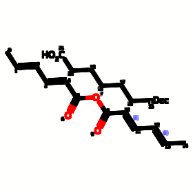 CC=CC=CC(=O)OC(=O)/C=C/C=C/C.CCCCCCCCCCCCCCCC(=O)O